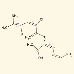 C=C(O/C(=C/C=C\N)C(=C)O)/C(Cl)=C\C(F)=C(\C)N